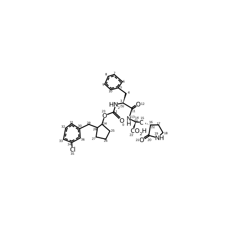 O=C(N[C@@H](Cc1ccccc1)C(=O)N[C@@H](C[C@@H]1CCNC1=O)C(=O)O)OC1CCCC1Cc1cccc(Cl)c1